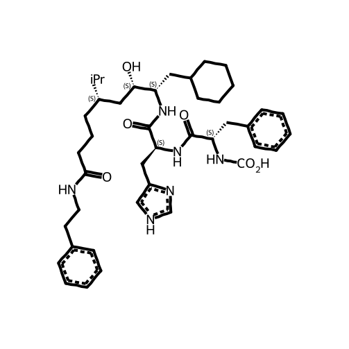 CC(C)[C@@H](CCCC(=O)NCCc1ccccc1)C[C@H](O)[C@H](CC1CCCCC1)NC(=O)[C@H](Cc1c[nH]cn1)NC(=O)[C@H](Cc1ccccc1)NC(=O)O